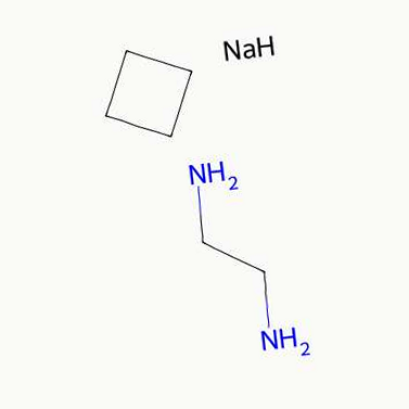 C1CCC1.NCCN.[NaH]